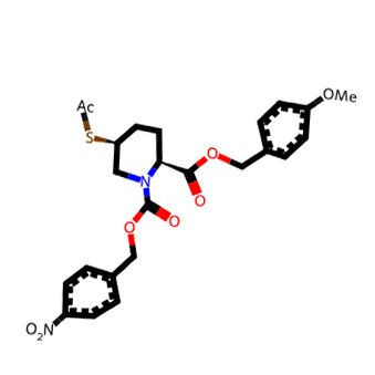 COc1ccc(COC(=O)[C@@H]2CC[C@H](SC(C)=O)CN2C(=O)OCc2ccc([N+](=O)[O-])cc2)cc1